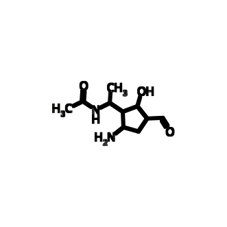 CC(=O)NC(C)C1C(N)CC(C=O)C1O